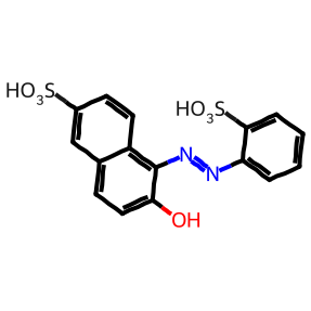 O=S(=O)(O)c1ccc2c(/N=N/c3ccccc3S(=O)(=O)O)c(O)ccc2c1